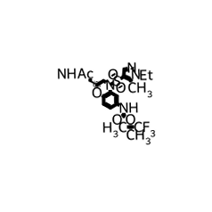 CCn1ncc(S(=O)(=O)N2C[C@H](CNC(C)=O)Oc3ccc(NC(=O)OC(C)(C)C(F)(F)F)cc32)c1C